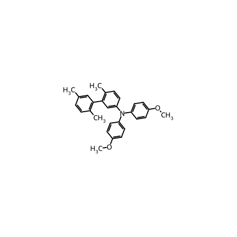 COc1ccc(N(c2ccc(OC)cc2)c2ccc(C)c(-c3cc(C)ccc3C)c2)cc1